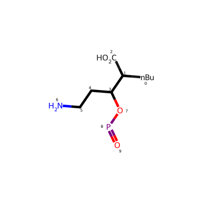 CCCCC(C(=O)O)C(CCN)OP=O